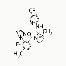 Cc1ccc(C(=O)N2CCC[C@@H](C)[C@H]2CNc2ccc(C(F)(F)F)cn2)c(-n2nccn2)c1F